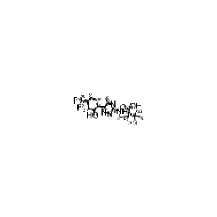 Cc1nc(NC[C@@H](C)N(C(=O)O)C(C)(C)C)nnc1-c1ccc(C(F)(F)F)cc1O